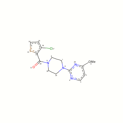 COc1ccnc(N2CCN(C(=O)c3sccc3Cl)CC2)n1